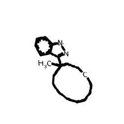 CC1(C2=N[N]c3ccccc32)CCCCCCCCCCC1